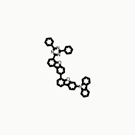 c1ccc(-c2nc(-c3ccccc3)nc(-c3cccc4c3oc3ccc(-c5cccc6c5oc5cc(-n7c8ccccc8c8ccccc87)ccc56)cc34)n2)cc1